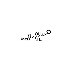 COC(=O)CCC(N)C(O)CCCOCc1ccccc1